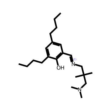 CCCCc1cc(/C=N/CC(C)(C)CN(C)C)c(O)c(CCCC)c1